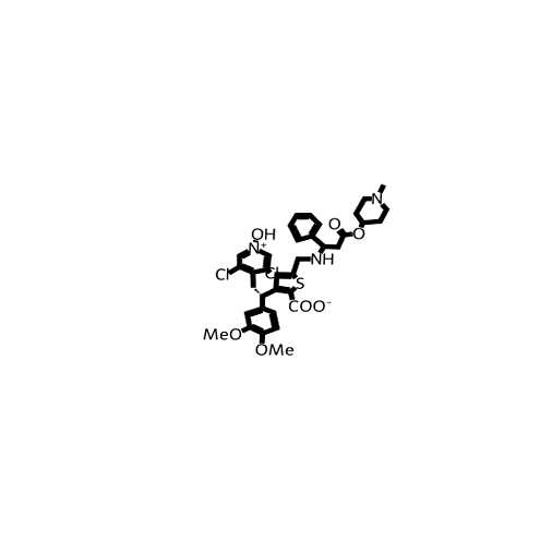 COc1ccc([C@H](Cc2c(Cl)c[n+](O)cc2Cl)c2cc(CNC(CC(=O)OC3CCN(C)CC3)c3ccccc3)sc2C(=O)[O-])cc1OC